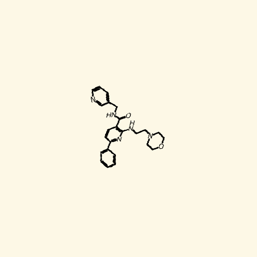 O=C(NCc1cccnc1)c1ccc(-c2ccccc2)nc1NCCN1CCOCC1